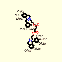 COc1cc2c(cc1OC)C(c1cc(OC)c(OC)c(OC)c1)[N+](C)(CCCOC(=O)CCC(=O)OCCC[N+]1(C)CCc3cc(OC)c(OC)c(OC)c3C1Cc1cc(OC)c(OC)c(OC)c1)CC2